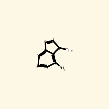 [2H]c1cccc2c1C([2H])C=C2